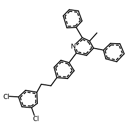 Cc1c(-c2ccccc2)cc(-c2ccc(CCc3cc(Cl)cc(Cl)c3)cc2)nc1-c1ccccc1